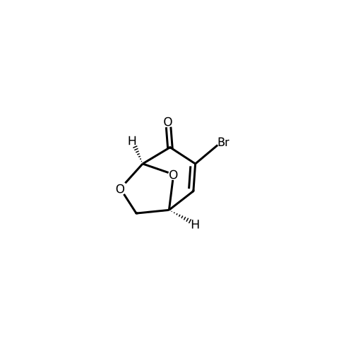 O=C1C(Br)=C[C@H]2CO[C@@H]1O2